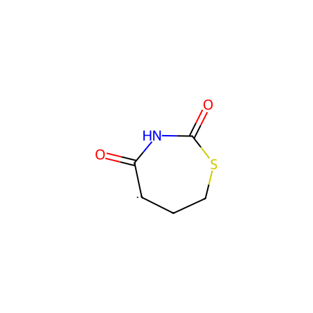 O=C1[CH]CCSC(=O)N1